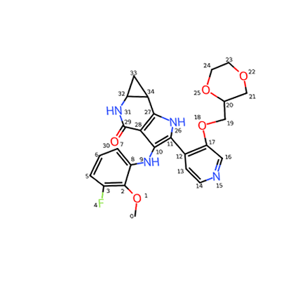 COc1c(F)cccc1Nc1c(-c2ccncc2OCC2COCCO2)[nH]c2c1C(=O)NC1CC21